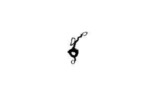 O=CCCCC(=O)c1ccc(C=O)cc1